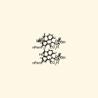 C=C(C)[C@@H]1CCC(C)=C[C@H]1c1c(O)cc(CCCCC)cc1N(CCOP(=O)(O)O)C(=O)O.C=C(C)[C@@H]1CCC(C)=C[C@H]1c1c(O)cc(CCCCC)cc1N(CCOP(=O)(O)O)C(=O)O.N.N